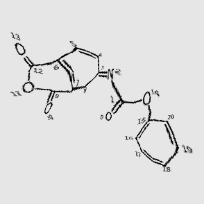 O=C(N=C1C=CC2=C(C1)C(=O)OC2=O)Oc1ccccc1